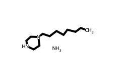 CCCCCCCCN1CCNCC1.N